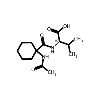 CC(=O)NC1(C(=O)N[C@H](C(=O)O)C(C)C)CCCCC1